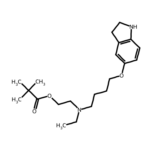 CCN(CCCCOc1ccc2c(c1)CCN2)CCOC(=O)C(C)(C)C